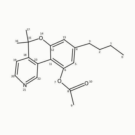 CCCCc1cc(OC(C)=O)c2c(c1)OC(C)(C)c1ccncc1-2